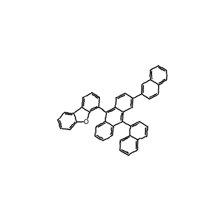 c1ccc2cc(-c3ccc4c(-c5cccc6c5oc5ccccc56)c5ccccc5c(-c5cccc6ccccc56)c4c3)ccc2c1